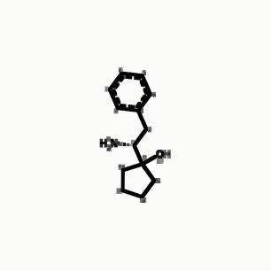 N[C@H](Cc1ccccc1)C1(O)CCCC1